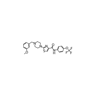 COc1cccc(CN2CCN(c3nc(C(=O)Nc4ccc(OC(F)(F)F)cc4)cs3)CC2)c1